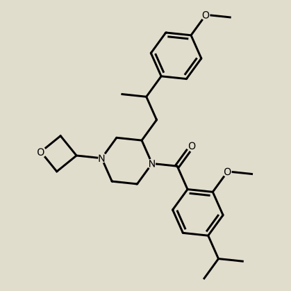 COc1ccc(C(C)CC2CN(C3COC3)CCN2C(=O)c2ccc(C(C)C)cc2OC)cc1